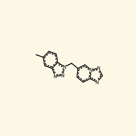 Cc1ccc2c(c1)nnn2Cc1ccc2ncnn2c1